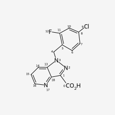 O=C(O)c1nn(Cc2ccc(Cl)cc2F)c2cccnc12